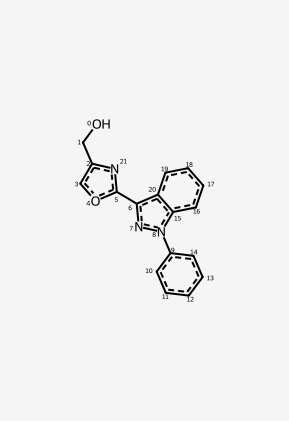 OCc1coc(-c2nn(-c3ccccc3)c3ccccc23)n1